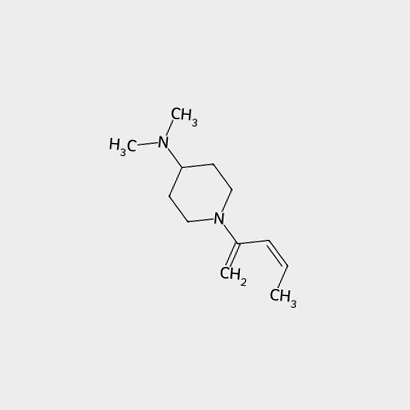 C=C(/C=C\C)N1CCC(N(C)C)CC1